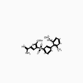 CSc1sc(C(=N)N)cc1S(=O)(=O)c1cccc(-c2c(C)cccc2NC=O)c1